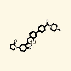 CN1CCN(C(=O)c2ccc(-c3ccc(Cc4[nH]nc5c4CC(N4CCCC4=O)CC5)c(Cl)c3)cc2)CC1